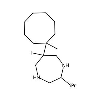 CC(C)C1CNCC(I)(C2(C)CCCCCCC2)CN1